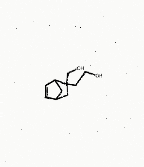 OCCC1(CO)CC2C=CC1C2